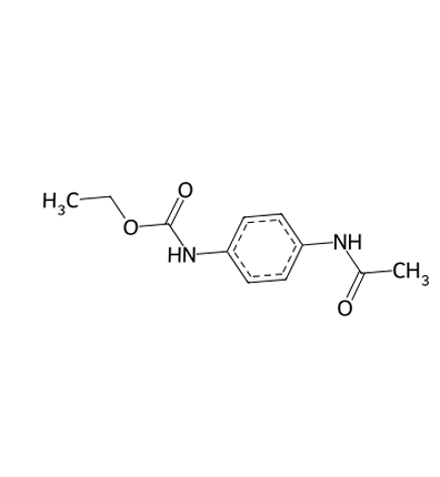 CCOC(=O)Nc1ccc(NC(C)=O)cc1